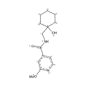 COc1cc(C(=O)NCC2(O)CCCCC2)ccn1